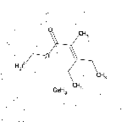 CCOC(=O)C(C)=C(CC)CC.[GeH4]